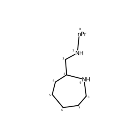 CCCNCC1CCCCCN1